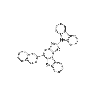 c1ccc2cc(-c3cc4nc(-n5c6ccccc6c6ccccc65)oc4c4c3sc3ccccc34)ccc2c1